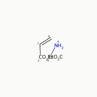 C=CC(=O)OCC.CCOC(N)=O